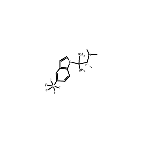 BC(B)([C@@H](C)N(C)C)n1ccc2cc(S(F)(F)(F)(F)F)ccc21